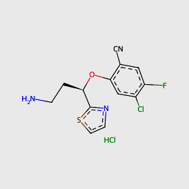 Cl.N#Cc1cc(F)c(Cl)cc1O[C@H](CCN)c1nccs1